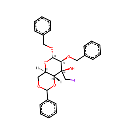 O[C@]1(CI)[C@H](OCc2ccccc2)[C@@H](OCc2ccccc2)O[C@@H]2COC(c3ccccc3)O[C@H]21